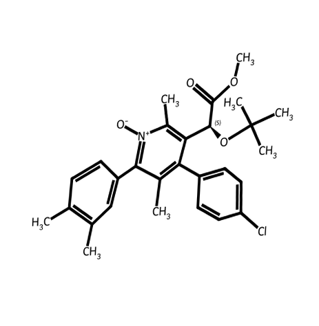 COC(=O)[C@@H](OC(C)(C)C)c1c(-c2ccc(Cl)cc2)c(C)c(-c2ccc(C)c(C)c2)[n+]([O-])c1C